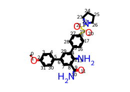 COc1ccc(-c2cc(C(N)=O)c(N)c(-c3ccc(S(=O)(=O)N4CCCC4)cc3)c2)cc1